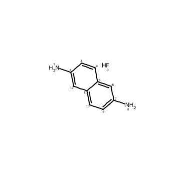 F.Nc1ccc2cc(N)ccc2c1